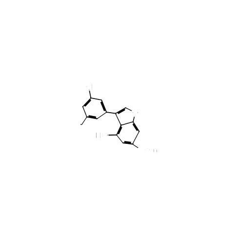 CCCCCc1cc(O)c2c(-c3cc(Cl)cc(Cl)c3)coc2c1